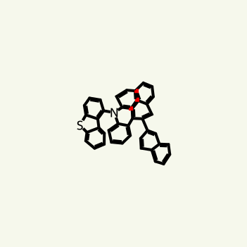 c1ccc(N(c2ccccc2-c2cc3ccccc3cc2-c2ccc3ccccc3c2)c2cccc3sc4ccccc4c23)cc1